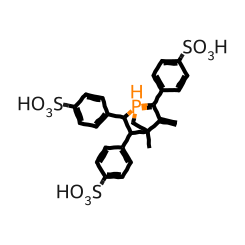 C=C1C(c2ccc(S(=O)(=O)O)cc2)=[PH]2CC1(C)C(c1ccc(S(=O)(=O)O)cc1)C2c1ccc(S(=O)(=O)O)cc1